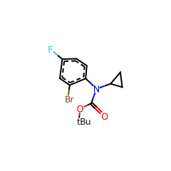 CC(C)(C)OC(=O)N(c1ccc(F)cc1Br)C1CC1